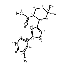 O=C(O)C1CCC(F)(F)CC1c1csc(-c2cncc(Cl)c2)n1